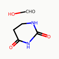 O=C1CCNC(=O)N1.O=CO